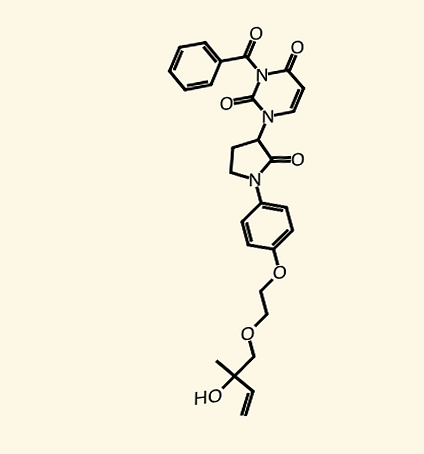 C=CC(C)(O)COCCOc1ccc(N2CCC(n3ccc(=O)n(C(=O)c4ccccc4)c3=O)C2=O)cc1